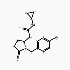 CC(C)c1ccc(CN2C(=O)CCC2CC(=O)NC2CC2)cc1